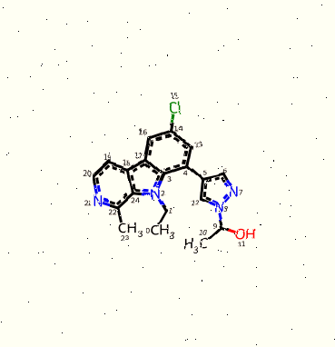 CCn1c2c(-c3cnn(C(C)O)c3)cc(Cl)cc2c2ccnc(C)c21